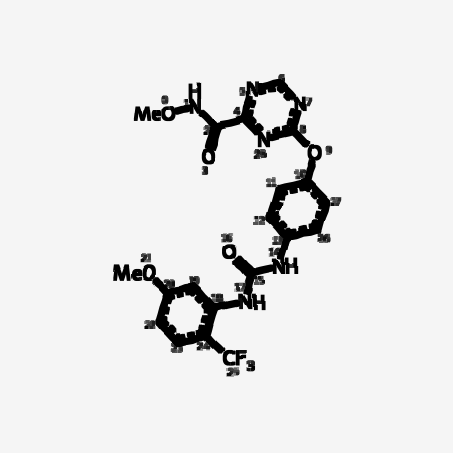 CONC(=O)c1ncnc(Oc2ccc(NC(=O)Nc3cc(OC)ccc3C(F)(F)F)cc2)n1